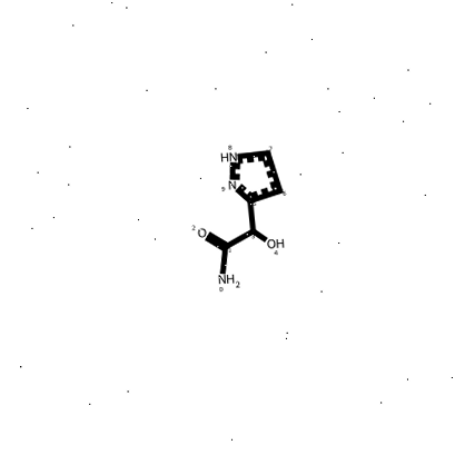 NC(=O)C(O)c1cc[nH]n1